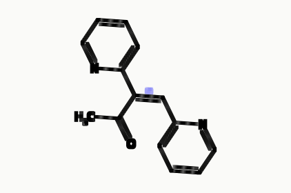 CC(=O)/C(=C\c1ccccn1)c1ccccn1